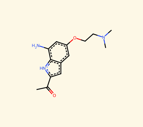 CC(=O)c1cc2cc(OCCN(C)C)cc(N)c2[nH]1